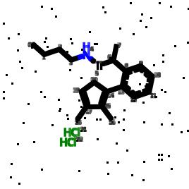 CCCC[NH][Ti][CH](C)c1ccccc1C1=C(C)C(C)=CC1.Cl.Cl